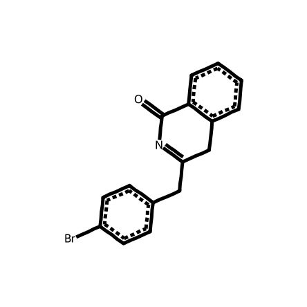 O=C1N=C(Cc2ccc(Br)cc2)Cc2ccccc21